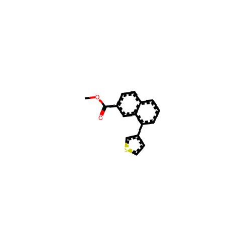 COC(=O)c1ccc2cccc(-c3ccsc3)c2c1